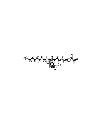 C=CC(=O)OCCCCCCCCCCCCCCCCCC.[Mg+2].[OH-].[OH-]